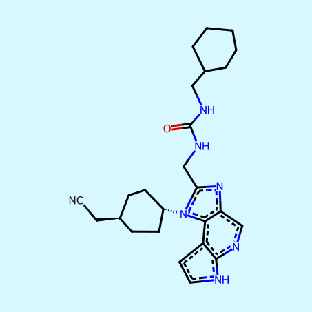 N#CC[C@H]1CC[C@H](n2c(CNC(=O)NCC3CCCCC3)nc3cnc4[nH]ccc4c32)CC1